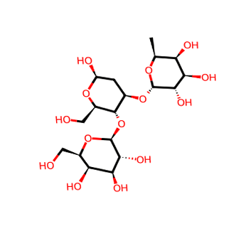 C[C@@H]1O[C@@H](O[C@@H]2C[C@H](O)O[C@H](CO)[C@H]2O[C@@H]2O[C@H](CO)[C@H](O)[C@H](O)[C@H]2O)[C@@H](O)[C@H](O)[C@@H]1O